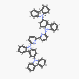 c1cc(-c2cccc(-n3c4ccccc4c4cc(-n5c6ccccc6c6ccccc65)ccc43)n2)nc(-n2c3ccccc3c3cc(-n4c5ccccc5c5ccccc54)ccc32)c1